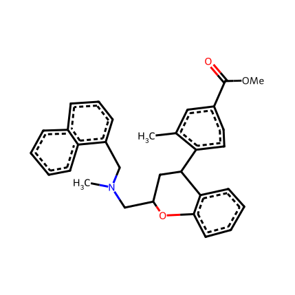 COC(=O)c1ccc(C2CC(CN(C)Cc3cccc4ccccc34)Oc3ccccc32)c(C)c1